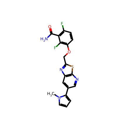 Cn1cccc1-c1cnc2sc(COc3ccc(F)c(C(N)=O)c3F)nc2c1